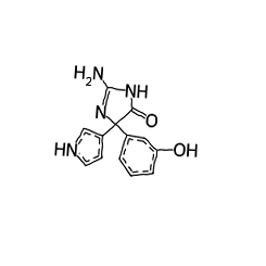 NC1=NC(c2cc[nH]c2)(c2cccc(O)c2)C(=O)N1